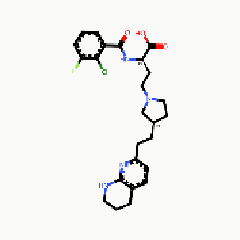 O=C(N[C@H](CCN1CC[C@@H](CCc2ccc3c(n2)NCCC3)C1)C(=O)O)c1cccc(F)c1Cl